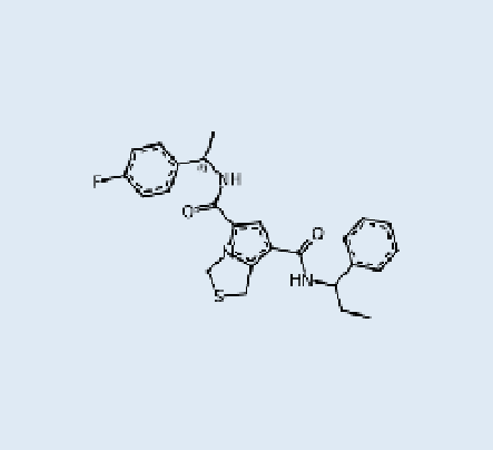 CCC(NC(=O)c1cc(C(=O)N[C@H](C)c2ccc(F)cc2)n2c1CSC2)c1ccccc1